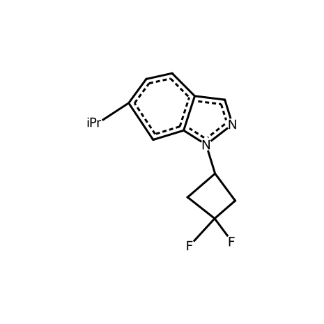 CC(C)c1ccc2cnn(C3CC(F)(F)C3)c2c1